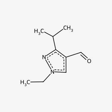 CCn1cc(C=O)c(C(C)C)n1